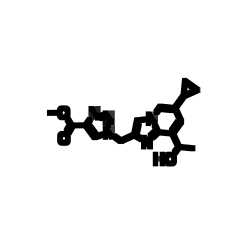 COC(=O)c1cn(Cc2cn3cc(C4CC4)cc(C(C)O)c3n2)nn1